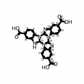 O=C(O)c1ccc2c(c1)NC1N2c2nc3cc(C(=O)O)ccc3n2-c2nc3cc(C(=O)O)ccc3n21